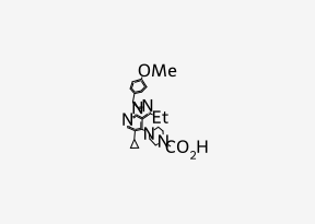 CCc1nn(Cc2ccc(OC)cc2)c2ncc(C3CC3)c(N3CCN(C(=O)O)CC3)c12